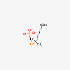 CCCCCCCCCCCCCC(C)(C)P.O=P(O)(O)O